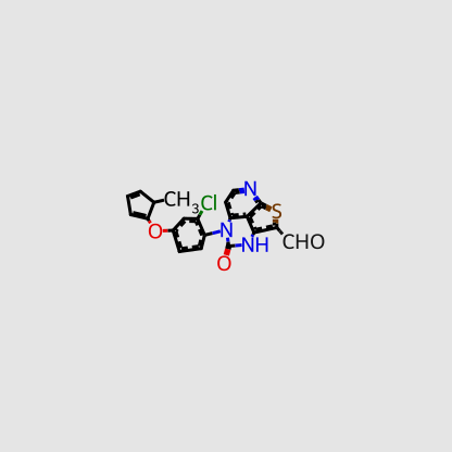 CC1C=CC=C1Oc1ccc(N2C(=O)Nc3c(C=O)sc4nccc2c34)c(Cl)c1